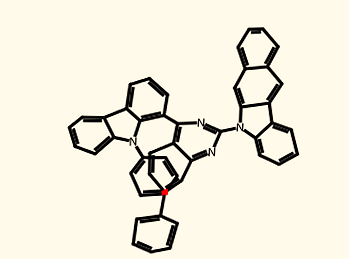 c1ccc(-c2ccc3c(-c4cccc5c6ccccc6n(-c6ccccc6)c45)nc(-n4c5ccccc5c5cc6ccccc6cc54)nc3c2)cc1